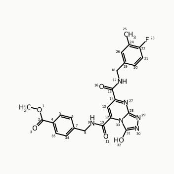 COC(=O)c1ccc(CNC(=O)c2cc(C(=O)NCc3ccc(F)c(C)c3)nc3nnc(O)n23)cc1